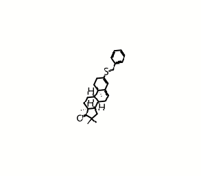 CC1(C)C[C@H]2[C@@H]3CC=C4C=C(SCc5ccccc5)CC[C@]4(C)[C@H]3CC[C@]2(C)C1=O